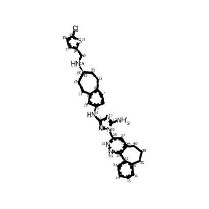 Nc1nc(Nc2ccc3c(c2)CC[C@@H](NCc2ccc(Cl)s2)CC3)nn1-c1cc2c(nn1)-c1ccccc1CCC2